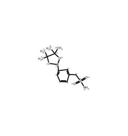 CC1(C)OB(c2cccc(CS(N)(=O)=O)c2)OC1(C)C